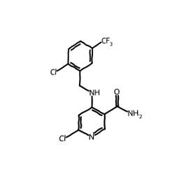 NC(=O)c1cnc(Cl)cc1NCc1cc(C(F)(F)F)ccc1Cl